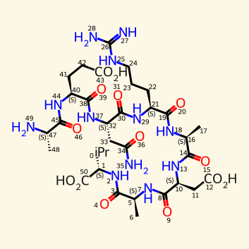 CC(C)[C@H](NC(=O)[C@H](C)NC(=O)[C@H](CC(=O)O)NC(=O)[C@H](C)NC(=O)[C@H](CCCNC(=N)N)NC(=O)[C@H](CC(N)=O)NC(=O)[C@H](CCC(=O)O)NC(=O)[C@H](C)N)C(=O)O